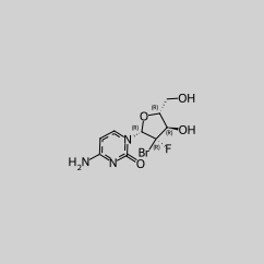 Nc1ccn([C@@H]2O[C@H](CO)[C@@H](O)[C@@]2(F)Br)c(=O)n1